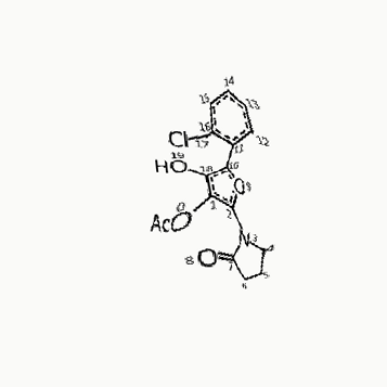 CC(=O)Oc1c(N2CCCC2=O)oc(-c2ccccc2Cl)c1O